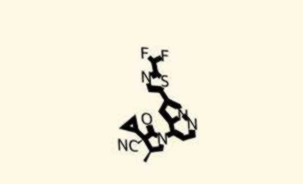 C[C@@H]1CN(c2ccnn3cc(-c4cnc(C(F)F)s4)cc23)C(=O)[C@]1(C#N)C1CC1